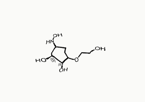 OCCOC1CC(NO)[C@H](O)[C@@H]1O